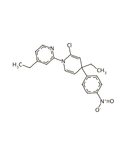 CCc1ccnc(N2C=CC(CC)(c3ccc([N+](=O)[O-])cc3)C=C2Cl)c1